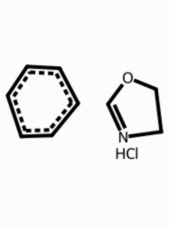 C1=NCCO1.Cl.c1ccccc1